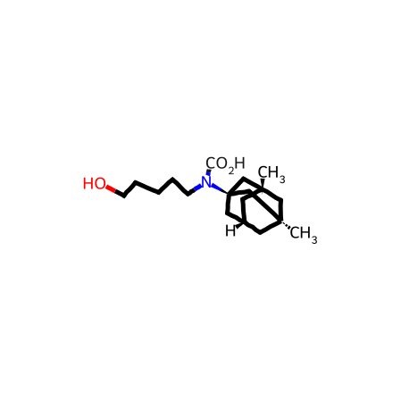 C[C@]12C[C@@H]3C[C@](C)(C1)C[C@](N(CCCCCO)C(=O)O)(C3)C2